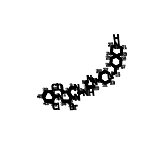 O=c1c2cnc(Nc3cnn(C4CCN(CC5CCC6(CCNCC6)CC5)CC4)c3)nc2c(Br)cn1-c1c(Cl)cccc1Cl